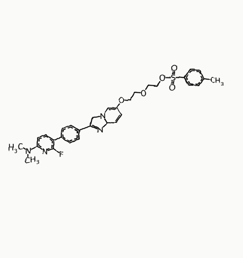 Cc1ccc(S(=O)(=O)OCCOCCOC2=CN3CC(c4ccc(-c5ccc(N(C)C)nc5F)cc4)=NC3C=C2)cc1